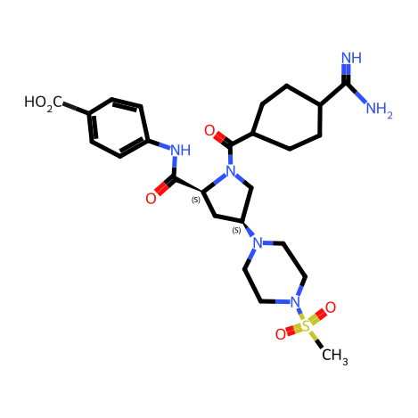 CS(=O)(=O)N1CCN([C@H]2C[C@@H](C(=O)Nc3ccc(C(=O)O)cc3)N(C(=O)C3CCC(C(=N)N)CC3)C2)CC1